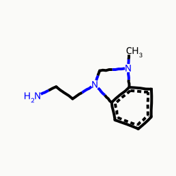 CN1CN(CCN)c2ccccc21